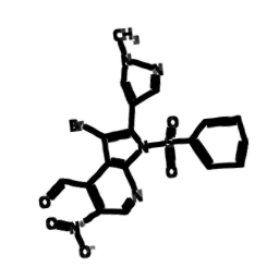 Cn1cc(-c2c(Br)c3c(C=O)c([N+](=O)[O-])cnc3n2S(=O)(=O)c2ccccc2)cn1